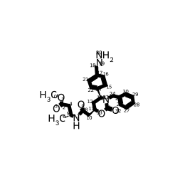 COC(=O)C[C@@H](C)NC(=O)C[C@H]1C[C@@H](c2ccc(C=NN)cc2)N(Cc2ccccc2)C(=O)O1